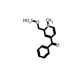 CN1C=CC(C(=O)c2ccccc2)=CC1COS(=O)(=O)O